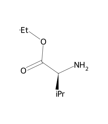 C[CH]OC(=O)[C@@H](N)C(C)C